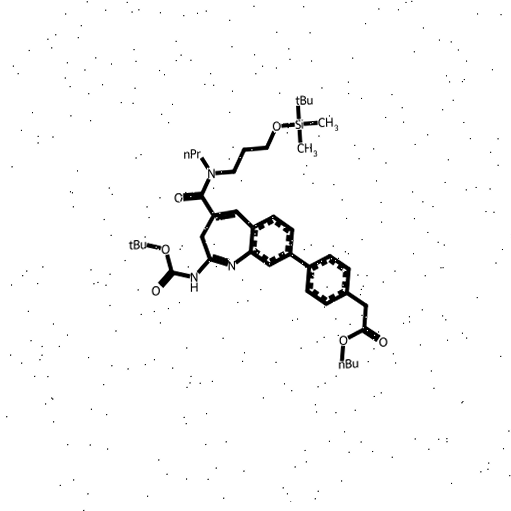 CCCCOC(=O)Cc1ccc(-c2ccc3c(c2)N=C(NC(=O)OC(C)(C)C)CC(C(=O)N(CCC)CCCO[Si](C)(C)C(C)(C)C)=C3)cc1